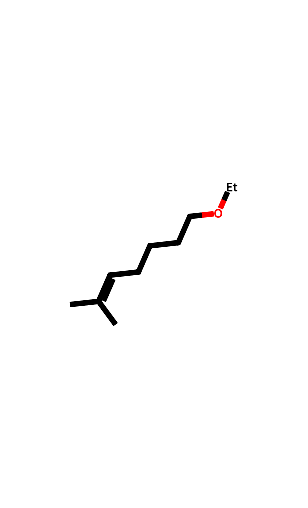 [CH2]COCCCCC=C(C)C